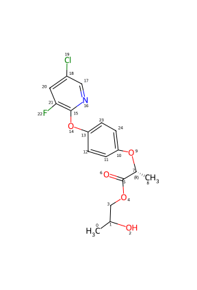 CC(O)COC(=O)[C@@H](C)Oc1ccc(Oc2ncc(Cl)cc2F)cc1